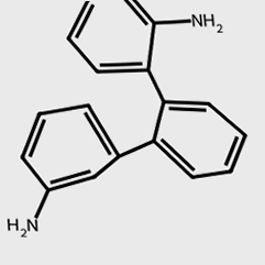 Nc1cccc(-c2ccccc2-c2ccccc2N)c1